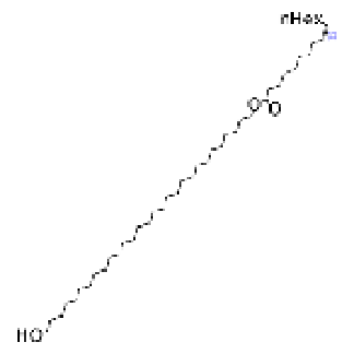 CCCCCC/C=C\CCCCCCCC(=O)OCCCCCCCCCCCCCCCCCCCCCCCCCCCCCO